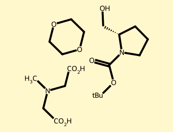 C1COCCO1.CC(C)(C)OC(=O)N1CCC[C@H]1CO.CN(CC(=O)O)CC(=O)O